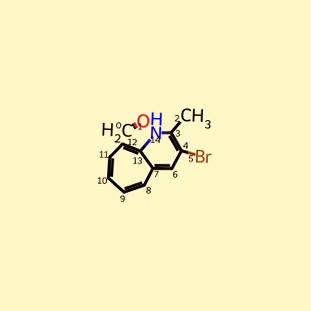 C=O.CC1=C(Br)C=C2C=CC=CC=C2N1